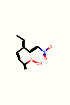 C=C(\C=C/C(/C=C/[N+](=O)[O-])=C\C)OO